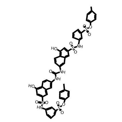 Cc1ccc(OS(=O)(=O)c2cccc(NS(=O)(=O)c3cc(O)c4ccc(NC(=O)Nc5ccc6c(O)cc(S(=O)(=O)Nc7cccc(S(=O)(=O)Oc8ccc(C)cc8)c7)cc6c5)cc4c3)c2)cc1